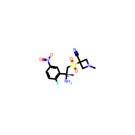 CN1CC(C#N)(S(=O)(=O)C[C@](C)(N)c2cc([N+](=O)[O-])ccc2F)C1